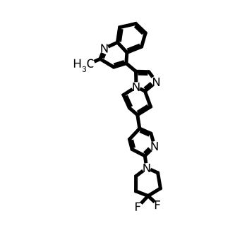 Cc1cc(-c2cnc3cc(-c4ccc(N5CCC(F)(F)CC5)nc4)ccn23)c2ccccc2n1